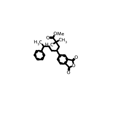 COC(=O)C(C)(C)CC(CCC(C)c1ccccc1)c1ccc2c(c1)C(=O)OC2=O